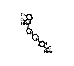 CNC(=O)c1ccc(N2CCC(N3CCC(c4cc5cccc(Cl)c5c(=O)[nH]4)C3)CC2)cn1